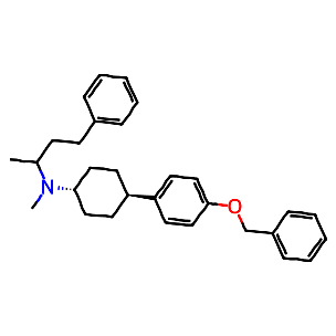 CC(CCc1ccccc1)N(C)[C@H]1CC[C@H](c2ccc(OCc3ccccc3)cc2)CC1